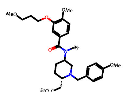 CCOC(=O)C[C@@H]1CCC(N(C(=O)c2ccc(OC)c(OCCCOC)c2)C(C)C)CN1Cc1ccc(OC)cc1